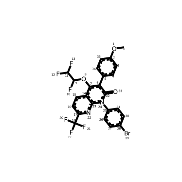 COc1ccc(-c2c(OC(F)C(F)F)c3ccc(C(F)(F)F)nc3n(-c3ccc(Br)cc3)c2=O)cc1